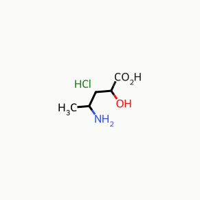 CC(N)CC(O)C(=O)O.Cl